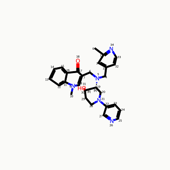 Cc1cc(CN(Cc2cn(C)c3ccccc3c2=O)[C@@H]2CN(c3cccnc3)CC[C@H]2O)ccn1